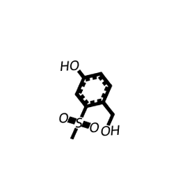 CS(=O)(=O)c1cc(O)ccc1CO